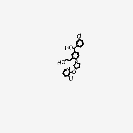 OCCc1cc(C(O)c2cccc(Cl)c2)ccc1N1CC[C@H](Oc2ncccc2Cl)C1